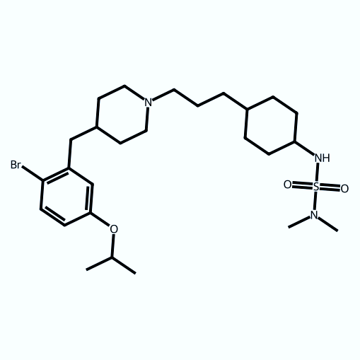 CC(C)Oc1ccc(Br)c(CC2CCN(CCCC3CCC(NS(=O)(=O)N(C)C)CC3)CC2)c1